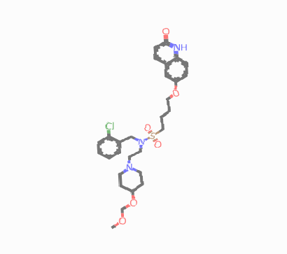 COCOC1CCN(CCN(Cc2ccccc2Cl)S(=O)(=O)CCCCOc2ccc3[nH]c(=O)ccc3c2)CC1